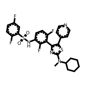 CN(c1nc(-c2c(F)ccc(NS(=O)(=O)c3cc(F)ccc3F)c2F)c(-c2ccncc2)s1)C1CCCCC1